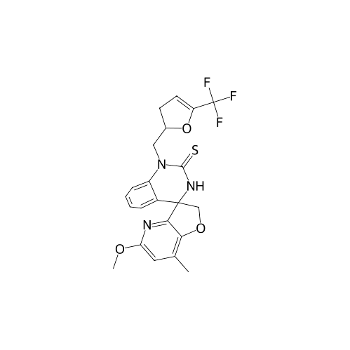 COc1cc(C)c2c(n1)C1(CO2)NC(=S)N(CC2CC=C(C(F)(F)F)O2)c2ccccc21